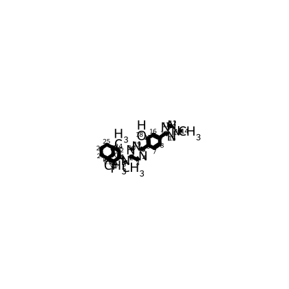 CN(c1cnc(-c2ccc(-c3nnn(C)n3)cc2O)nn1)[C@@H]1C[C@@]2(C)CCC[C@](C)(C2)[C@@H]1F